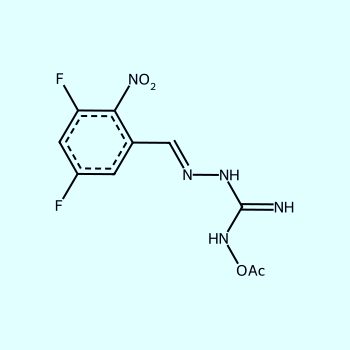 CC(=O)ONC(=N)NN=Cc1cc(F)cc(F)c1[N+](=O)[O-]